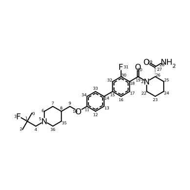 CC(C)(F)CN1CCC(COc2ccc(-c3ccc(C(=O)N4CCCC[C@H]4C(N)=O)c(F)c3)cc2)CC1